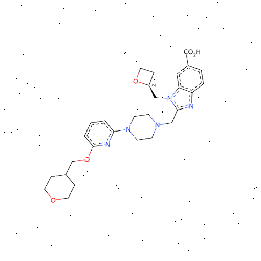 O=C(O)c1ccc2nc(CN3CCN(c4cccc(OCC5CCOCC5)n4)CC3)n(C[C@@H]3CCO3)c2c1